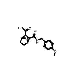 COc1ccc(CNC(=O)C2C3CCC(O3)C2C(=O)O)cc1